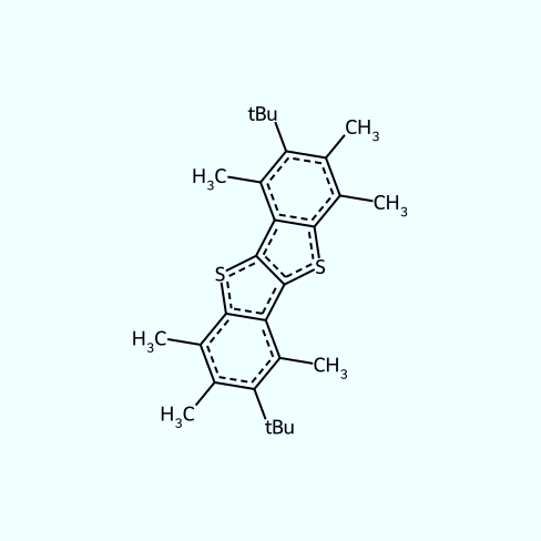 Cc1c(C(C)(C)C)c(C)c2c(sc3c2sc2c(C)c(C)c(C(C)(C)C)c(C)c23)c1C